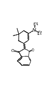 CCN(CC)C1=CC(=C2C(=O)c3ccccc3C2=O)CC(C)(C)C1